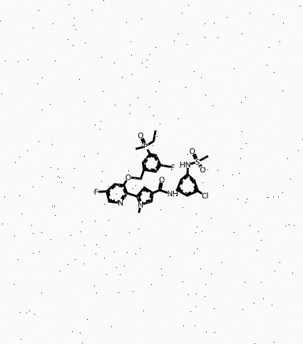 CCP(C)(=O)c1cc(F)cc(COc2cc(F)cnc2-c2cc(C(=O)Nc3cc(Cl)cc(NS(C)(=O)=O)c3)cn2C)c1